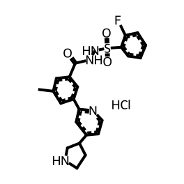 Cc1cc(C(=O)NNS(=O)(=O)c2ccccc2F)cc(-c2cc(C3CCNC3)ccn2)c1.Cl